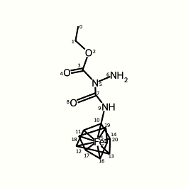 CCOC(=O)N(N)C(=O)N[C]12[CH]3[CH]4[CH]5[CH]1[Fe]45321678[CH]2[CH]1[CH]6[CH]7[CH]28